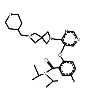 CC(C)N(C(=O)c1cc(F)ccc1Oc1cncnc1N1CC2(CN(CC3CCOCC3)C2)C1)C(C)C